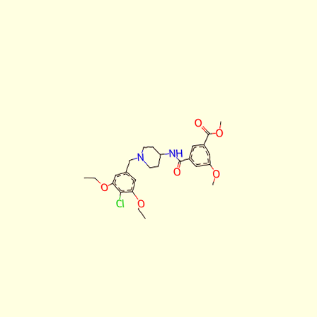 CCOc1cc(CN2CCC(NC(=O)c3cc(OC)cc(C(=O)OC)c3)CC2)cc(OCC)c1Cl